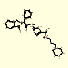 O=C(NCCCN1CCOCC1)c1csc(NC(=O)C(c2ccccc2)N2Cc3ccccc3C2=O)n1